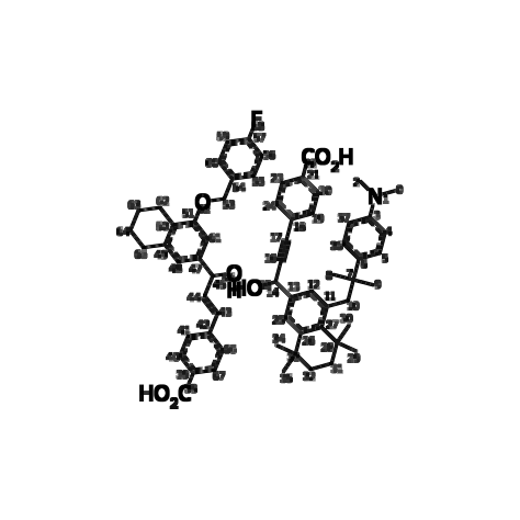 CN(C)c1ccc(C(C)(C)Cc2cc(C(O)C#Cc3ccc(C(=O)O)cc3)cc3c2C(C)(C)CCC3(C)C)cc1.O=C(O)c1ccc(C=CC(O)c2cc3c(c(OCc4ccc(F)cc4)c2)CCCC3)cc1